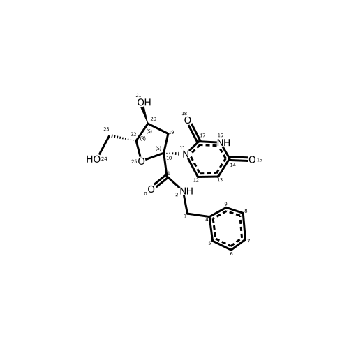 O=C(NCc1ccccc1)[C@]1(n2ccc(=O)[nH]c2=O)C[C@H](O)[C@@H](CO)O1